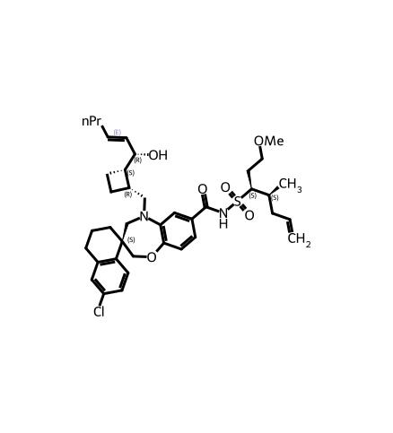 C=CC[C@H](C)[C@H](CCOC)S(=O)(=O)NC(=O)c1ccc2c(c1)N(C[C@@H]1CC[C@@H]1[C@@H](O)/C=C/CCC)C[C@@]1(CCCc3cc(Cl)ccc31)CO2